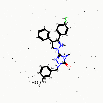 Cn1c(N2CC(c3ccccc3)C(c3ccc(Cl)cc3)=N2)nn(Cc2cccc(C(=O)O)c2)c1=O